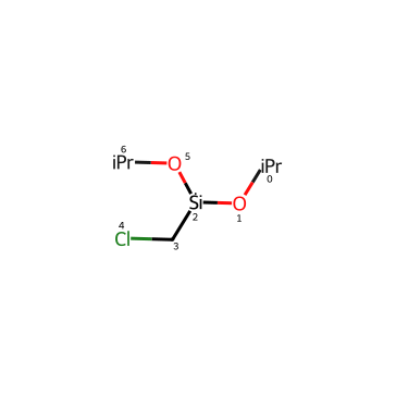 CC(C)O[Si](CCl)OC(C)C